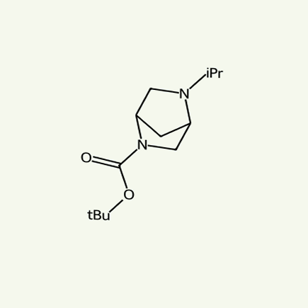 CC(C)N1CC2CC1CN2C(=O)OC(C)(C)C